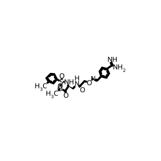 COC(=O)[C@H](CNC(=O)CON=Cc1ccc(C(=N)N)cc1)NS(=O)(=O)c1cccc(C)c1